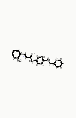 O=C(/C=C/c1ccccc1Cl)Nc1ccc(NCc2ccccn2)nc1